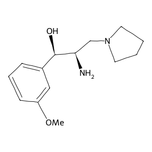 COc1cccc([C@@H](O)[C@H](N)CN2CCCC2)c1